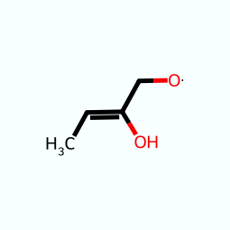 CC=C(O)C[O]